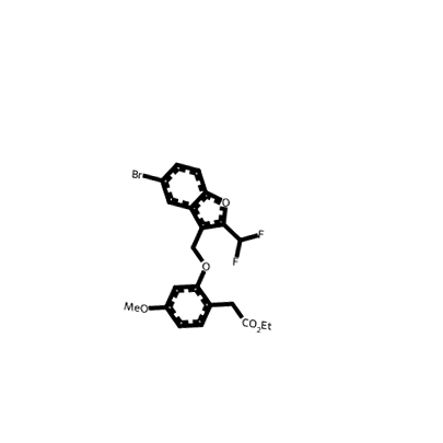 CCOC(=O)Cc1ccc(OC)cc1OCc1c(C(F)F)oc2ccc(Br)cc12